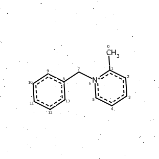 Cc1cccc[n+]1Cc1ccccc1